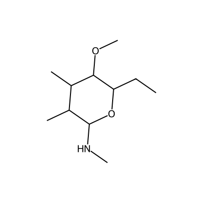 CCC1OC(NC)C(C)C(C)C1OC